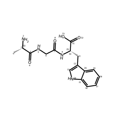 C[C@H](N)C(=O)NCC(=O)N[C@@H](Cc1c[nH]c2ccccc12)C(=O)O